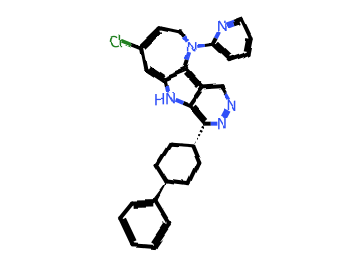 ClC1=CCN(c2ccccn2)c2c3c([nH]c2=C1)=C([C@H]1CC[C@H](c2ccccc2)CC1)N=NC3